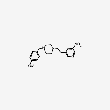 COc1ccc(CN2CCN(CCc3cccc([N+](=O)[O-])c3)CC2)cc1